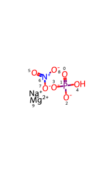 O=P([O-])([O-])O.O=[N+]([O-])[O-].[Mg+2].[Na+]